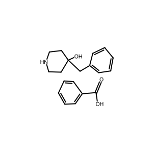 O=C(O)c1ccccc1.OC1(Cc2ccccc2)CCNCC1